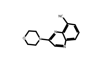 N#Cc1cccc2ncc(N3CCOCC3)nc12